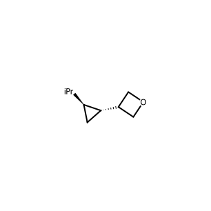 CC(C)[C@@H]1C[C@H]1C1COC1